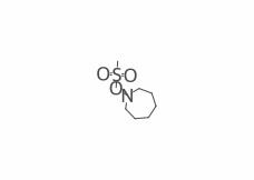 CS(=O)(=O)ON1CCCCCC1